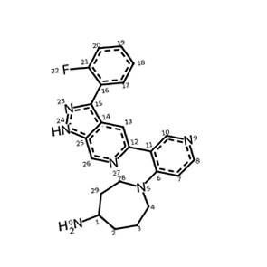 NC1CCCN(c2ccncc2-c2cc3c(-c4ccccc4F)n[nH]c3cn2)CC1